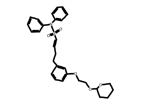 O=S(=O)(C=CCCc1cccc(OCCOC2CCCCO2)c1)N(c1ccccc1)c1ccccc1